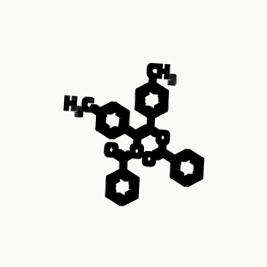 Cc1ccc(C(OC(=O)c2ccccc2)=C(OC(=O)c2ccccc2)c2ccc(C)cc2)cc1